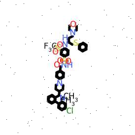 CN(C)[C@@H](c1ccccc1-c1ccc(Cl)cc1)C1CCN(c2ccc(C(=O)NS(=O)(=O)c3ccc(NC(CCN4CCOCC4)CSc4ccccc4)c(S(=O)(=O)C(F)(F)F)c3)cc2)CC1